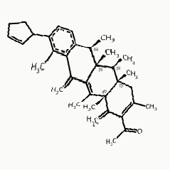 C=C1C2=C(C)[C@@]3(C)C(=C)C(C(C)=O)=C(C)C[C@@]3(C)[C@H](C)[C@@]2(C)[C@H](C)c2ccc(C3C=CCC3)c(C)c21